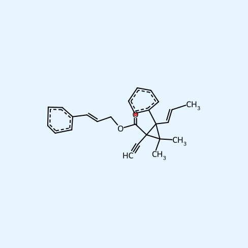 C#CC1(C(=O)OCC=Cc2ccccc2)C(C)(C)C1(C=CC)c1ccccc1